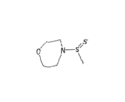 CS(=S)N1CCOCC1